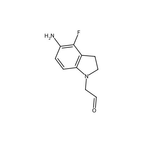 Nc1ccc2c(c1F)CCN2CC=O